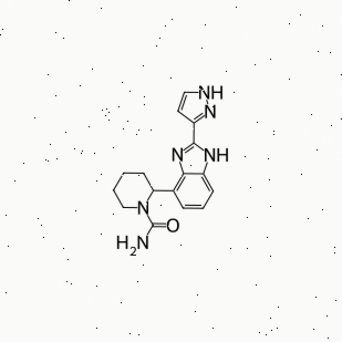 NC(=O)N1CCCCC1c1cccc2[nH]c(-c3cc[nH]n3)nc12